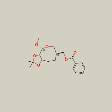 CO[C@@H]1OC[C@@H](COC(=O)c2ccccc2)CCC2OC(C)(C)OC21